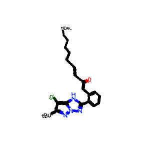 CCCCCCCCCCCCCCCCCC(=O)Cc1ccccc1-c1nn2nc(C(C)(C)C)c(Cl)c2[nH]1